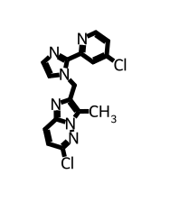 Cc1c(Cn2ccnc2-c2cc(Cl)ccn2)nc2ccc(Cl)nn12